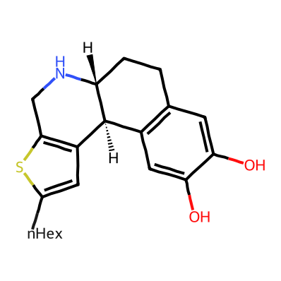 CCCCCCc1cc2c(s1)CN[C@@H]1CCc3cc(O)c(O)cc3[C@@H]21